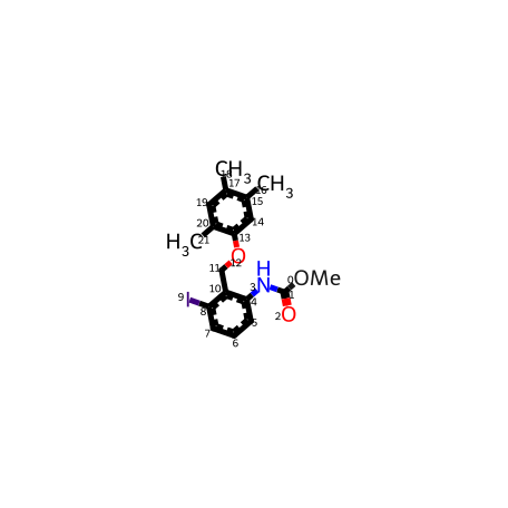 COC(=O)Nc1cccc(I)c1COc1cc(C)c(C)cc1C